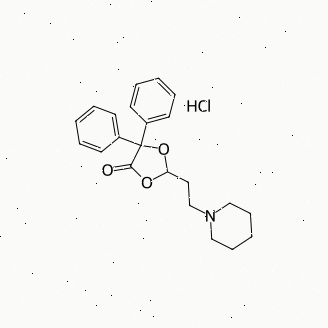 Cl.O=C1OC(CCN2CCCCC2)OC1(c1ccccc1)c1ccccc1